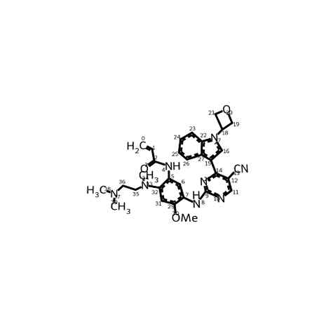 C=CC(=O)Nc1cc(Nc2ncc(C#N)c(-c3cn(C4COC4)c4ccccc34)n2)c(OC)cc1N(C)CCN(C)C